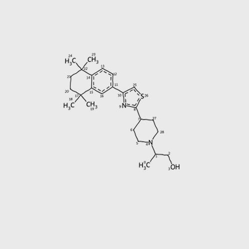 CC(CO)N1CCC(c2nc(-c3ccc4c(c3)C(C)(C)CCC4(C)C)cs2)CC1